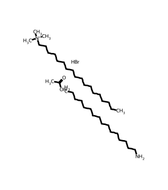 Br.CC(=O)O.CCCCCCCCCCCCCCCCCC[N+](C)(C)C.CCCCCCCCCCCCCCCCN